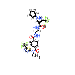 CN(C(=O)C1CCC(C(=O)NCCNC(=O)c2cn(-c3ccccc3)nc2C(F)(F)F)CC1)c1nnc(C(F)(F)F)s1